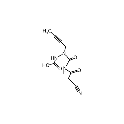 CC#CCN(NC(=O)O)C(=O)NC(=O)CC#N